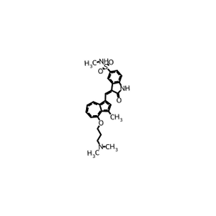 CNS(=O)(=O)c1ccc2c(c1)/C(=C/c1cc(C)c3c(OCCCN(C)C)ccccc1-3)C(=O)N2